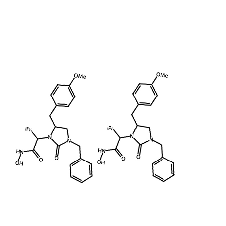 COc1ccc(CC2CN(Cc3ccccc3)C(=O)N2C(C(=O)NO)C(C)C)cc1.COc1ccc(CC2CN(Cc3ccccc3)C(=O)N2C(C(=O)NO)C(C)C)cc1